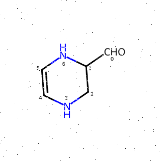 O=CC1CNC=CN1